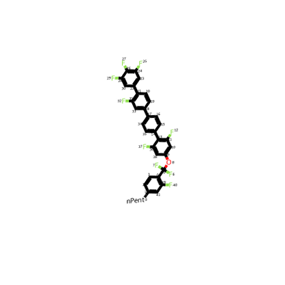 CCCCCc1ccc(C(F)(F)Oc2cc(F)c(-c3ccc(-c4ccc(-c5cc(F)c(F)c(F)c5)c(F)c4)cc3)c(F)c2)c(F)c1